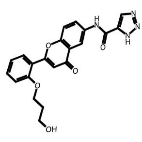 O=C(Nc1ccc2oc(-c3ccccc3OCCCO)cc(=O)c2c1)c1cnn[nH]1